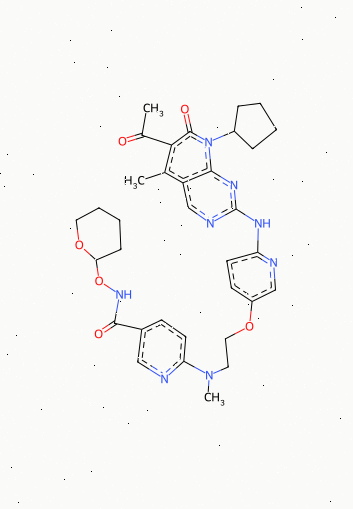 CC(=O)c1c(C)c2cnc(Nc3ccc(OCCN(C)c4ccc(C(=O)NOC5CCCCO5)cn4)cn3)nc2n(C2CCCC2)c1=O